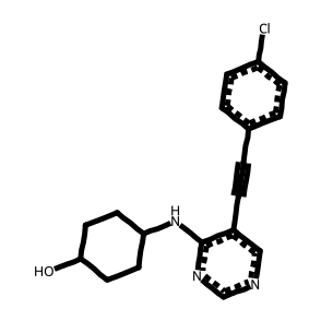 OC1CCC(Nc2ncncc2C#Cc2ccc(Cl)cc2)CC1